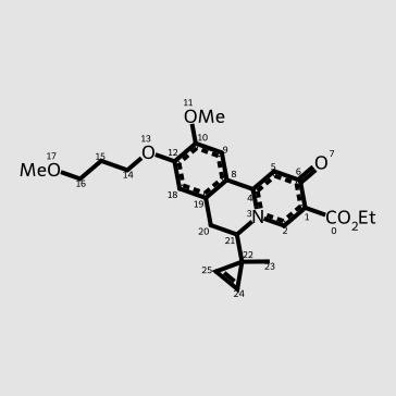 CCOC(=O)c1cn2c(cc1=O)-c1cc(OC)c(OCCCOC)cc1CC2C1(C)C=C1